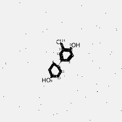 Oc1ccc([C@H]2CC[C@H](O)CC2)cc1Cl